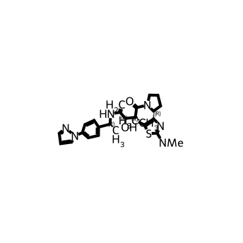 C=C(N[C@H](C)c1ccc(-n2cccn2)cc1)[C@H](O)[C@@H](C)C(=O)N1CCC[C@@H]1c1nc(NC)sc1C